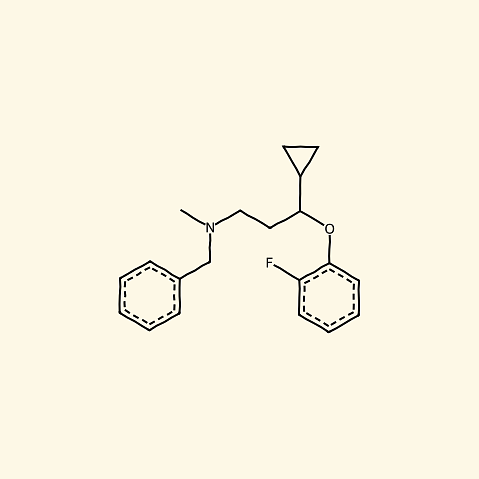 CN(CCC(Oc1ccccc1F)C1CC1)Cc1ccccc1